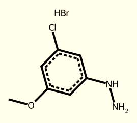 Br.COc1cc(Cl)cc(NN)c1